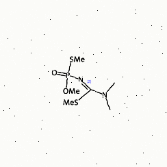 COP(=O)(/N=C(\SC)N(C)C)SC